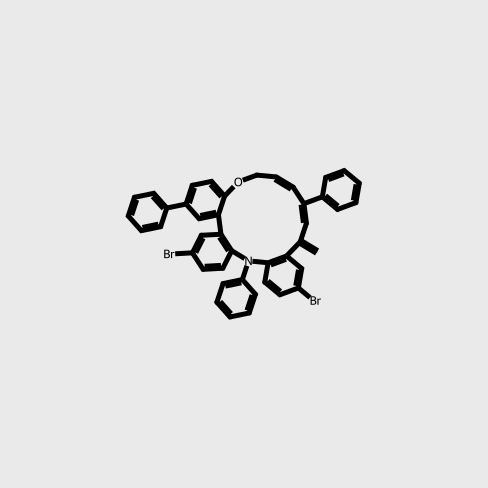 C=C1/C=C(c2ccccc2)\C=C/COc2ccc(-c3ccccc3)cc2-c2cc(Br)ccc2N(c2ccccc2)c2ccc(Br)cc21